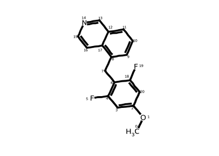 COc1cc(F)c(Cc2cccc3cnccc23)c(F)c1